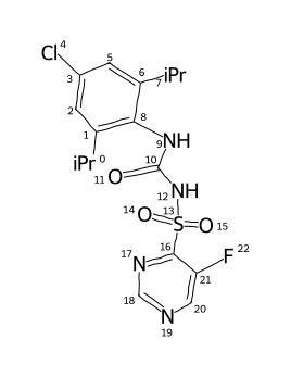 CC(C)c1cc(Cl)cc(C(C)C)c1NC(=O)NS(=O)(=O)c1ncncc1F